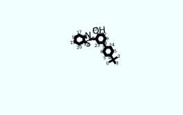 CC(C)(C)c1ccc(-c2ccc(O)c(-c3nc4ccccc4s3)c2)cc1